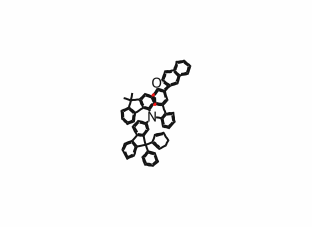 CC1(C)c2ccccc2-c2c(N(c3ccc4c(c3)C(C3=CCCC=C3)(c3ccccc3)c3ccccc3-4)c3ccccc3-c3ccc4oc5cc6ccccc6cc5c4c3)cccc21